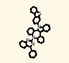 c1ccc(-c2nc(N3c4ccccc4-c4c(n(-c5ccc6c(c5)sc5ccccc56)c5ccccc45)-c4ccccc43)nc3ccccc23)cc1